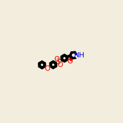 O=S(=O)(c1ccc(Oc2ccccc2)cc1)c1ccc2c3c(oc2c1)CNCC3